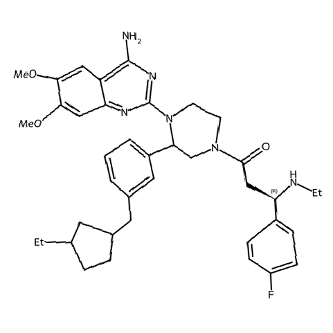 CCN[C@H](CC(=O)N1CCN(c2nc(N)c3cc(OC)c(OC)cc3n2)C(c2cccc(CC3CCC(CC)C3)c2)C1)c1ccc(F)cc1